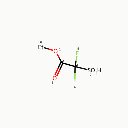 CCOC(=O)C(F)(F)S(=O)(=O)O